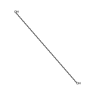 OCCCCCCCCCCCCCCCCCCCCCCCCCCCCCCCCCCCCCCCCCCCCCCCCCCCCCCCCCCCCCCCCCCCCCCCCCCCCCCCCCCCO